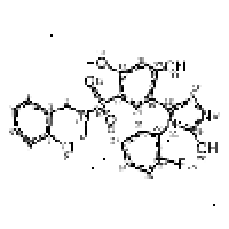 CN(Cc1ccccc1Cl)S(=O)(=O)c1cc(-c2nnc(O)n2-c2ccccc2F)c(O)cc1O